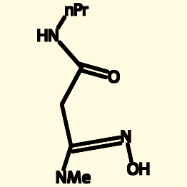 CCCNC(=O)C/C(=N/O)NC